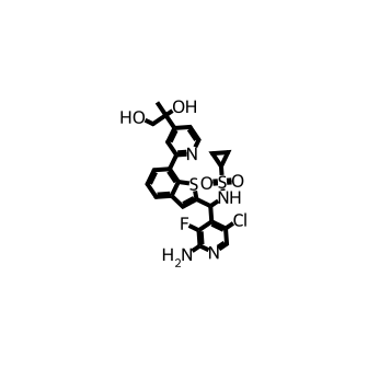 CC(O)(CO)c1ccnc(-c2cccc3cc(C(NS(=O)(=O)C4CC4)c4c(Cl)cnc(N)c4F)sc23)c1